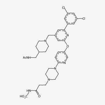 CC(=O)NCC1CCN(Cc2cc(Oc3ccc(N4CCN(CCC(=O)NC(=O)O)CC4)nc3)nc(-c3cc(Cl)cc(Cl)c3)c2)CC1